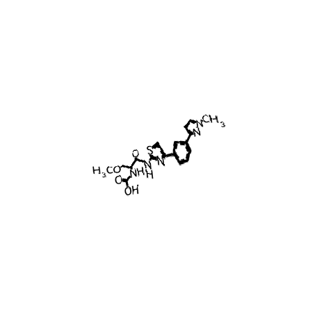 COCC(NC(=O)O)C(=O)Nc1nc(-c2cccc(-c3ccn(C)n3)c2)cs1